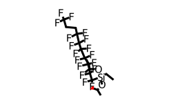 CC[Si](OC(C)C)(OC(C)C)C(F)(F)C(F)(F)C(F)(F)C(F)(F)C(F)(F)C(F)(F)C(F)(F)CCC(F)(F)F